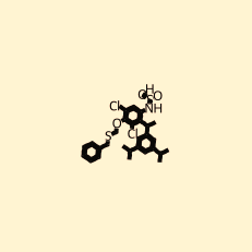 CC(C)c1cc(C(C)C)cc(C(C)c2c(N[SH](=O)=O)cc(Cl)c(OCSCc3ccccc3)c2Cl)c1